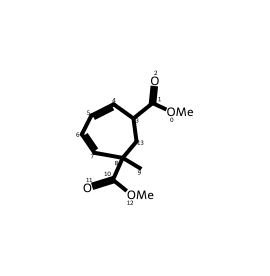 COC(=O)C1C=CC=CC(C)(C(=O)OC)C1